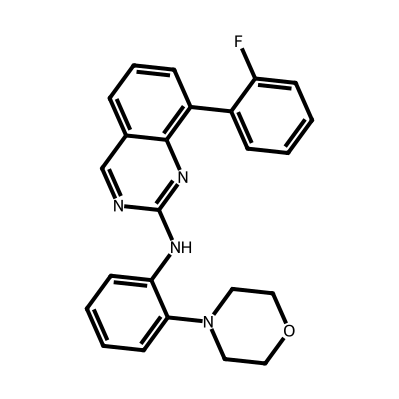 Fc1ccccc1-c1cccc2cnc(Nc3ccccc3N3CCOCC3)nc12